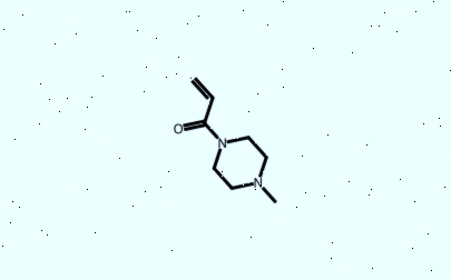 [CH]=CC(=O)N1CCN(C)CC1